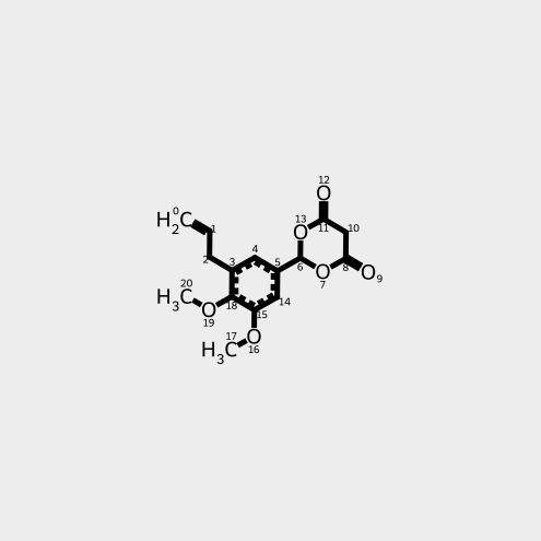 C=CCc1cc(C2OC(=O)CC(=O)O2)cc(OC)c1OC